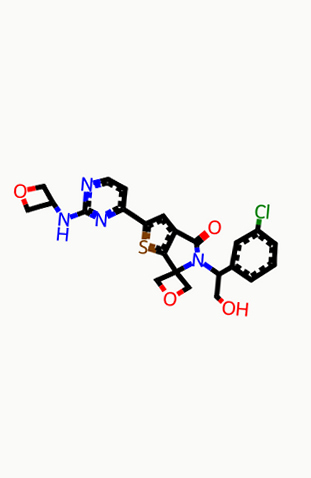 O=C1c2cc(-c3ccnc(NC4COC4)n3)sc2C2(COC2)N1C(CO)c1cccc(Cl)c1